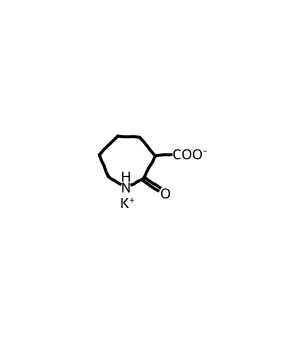 O=C([O-])C1CCCCNC1=O.[K+]